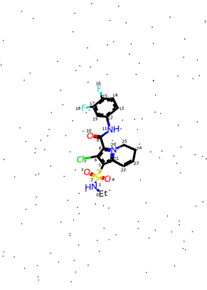 CCNS(=O)(=O)c1c(Cl)c(C(=O)Nc2ccc(F)c(F)c2)n2c1C=CCC2